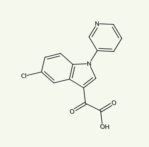 O=C(O)C(=O)c1cn(-c2cccnc2)c2ccc(Cl)cc12